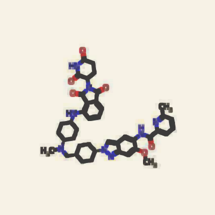 COc1cc2nn([C@H]3CC[C@H](CN(C)[C@H]4CC[C@H](Nc5cccc6c5C(=O)N(C5CCC(=O)NC5=O)C6=O)CC4)CC3)cc2cc1NC(=O)c1cccc(C)n1